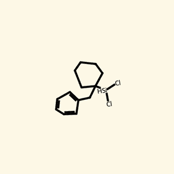 Cl[SiH](Cl)C1(Cc2ccccc2)CCCCC1